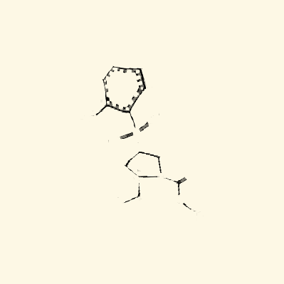 CC(C)(C)OC(=O)N1C[C@@H](S(=O)(=O)c2ccccc2C(F)(F)F)C[C@@H]1CO